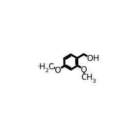 [CH2]Oc1ccc(CO)c(OC)c1